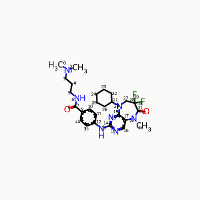 CN(C)CCCNC(=O)c1ccc(Nc2ncc3c(n2)N(C2CCCCC2)CC(F)(F)C(=O)N3C)cc1